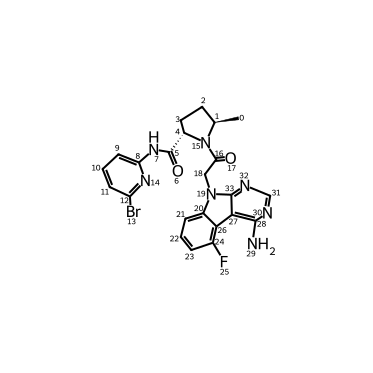 C[C@@H]1CC[C@@H](C(=O)Nc2cccc(Br)n2)N1C(=O)Cn1c2cccc(F)c2c2c(N)ncnc21